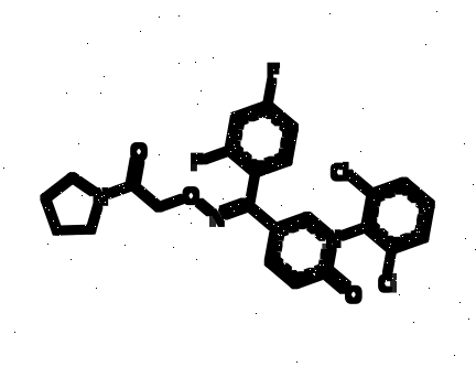 O=C(CON=C(c1ccc(=O)n(-c2c(Cl)cccc2Cl)c1)c1ccc(F)cc1F)N1CCCC1